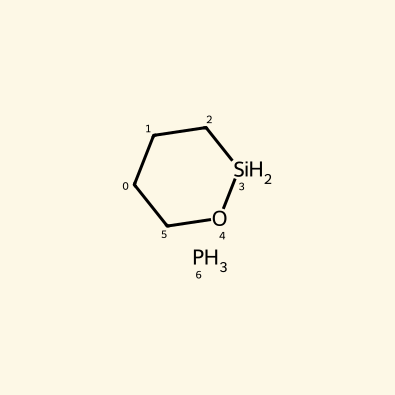 C1CC[SiH2]OC1.P